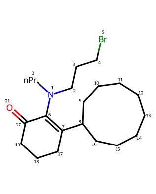 CCCN(CCCBr)C1=C(C2CCCCCCCC2)CCCC1=O